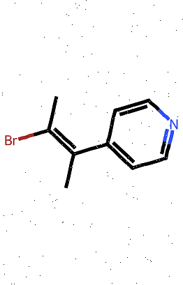 C/C(Br)=C(/C)c1ccncc1